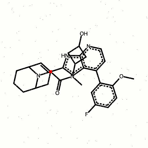 COc1ccc(F)cc1-c1ccnc2[nH]c(C3=CC4CCCC(C3)N4CC(=O)N(C)C3CC(O)C3)cc12